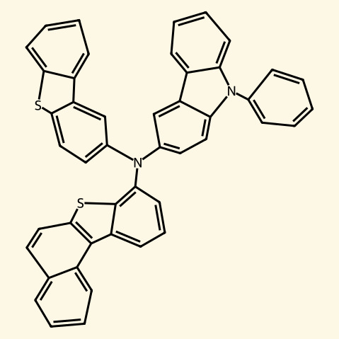 c1ccc(-n2c3ccccc3c3cc(N(c4ccc5sc6ccccc6c5c4)c4cccc5c4sc4ccc6ccccc6c45)ccc32)cc1